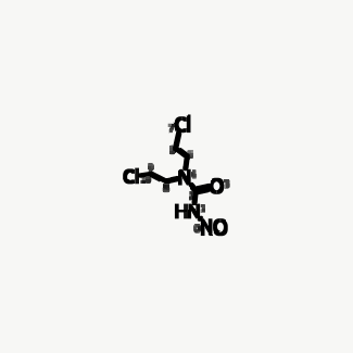 O=NNC(=O)N(CCCl)CCCl